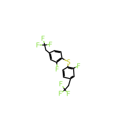 Fc1cc(CC(F)(F)F)ccc1Sc1ccc(CC(F)(F)F)cc1F